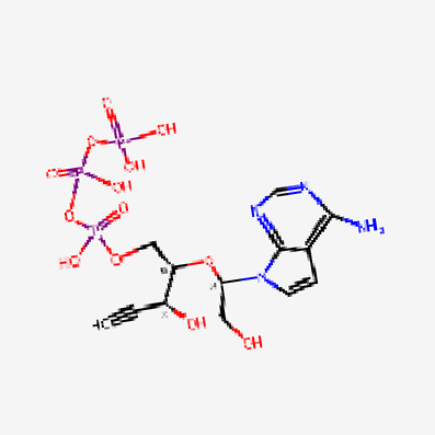 C#C[C@H](O)[C@@H](COP(=O)(O)OP(=O)(O)OP(=O)(O)O)O[C@H](CO)n1ccc2c(N)ncnc21